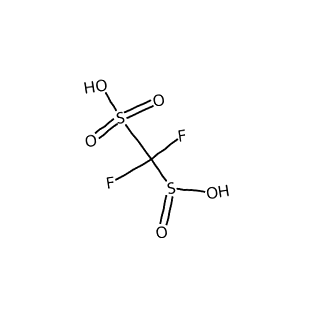 O=S(O)C(F)(F)S(=O)(=O)O